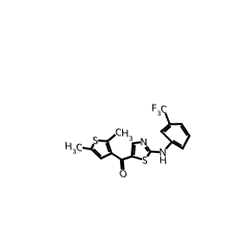 Cc1cc(C(=O)c2cnc(Nc3cccc(C(F)(F)F)c3)s2)c(C)s1